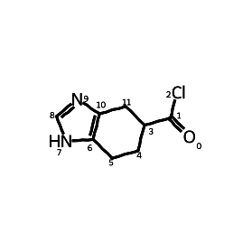 O=C(Cl)C1CCc2[nH]cnc2C1